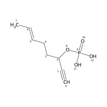 C#CC(CCC=CC)OP(=O)(O)O